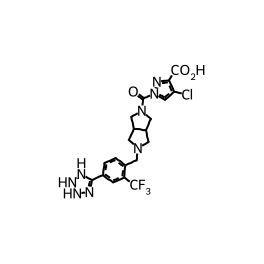 O=C(O)c1nn(C(=O)N2CC3CN(Cc4ccc(C5=NNNN5)cc4C(F)(F)F)CC3C2)cc1Cl